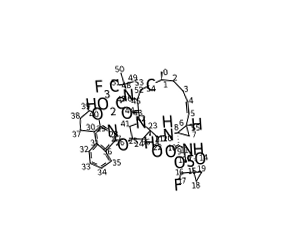 C[C@H]1CC/C=C\[C@@H]2C[C@@]2(C(=O)NS(=O)(=O)C2(CF)CC2)NC(=O)[C@@H]2C[C@@H](Oc3nc4c(c5ccccc35)CCCO4)CN2C(=O)[C@@H](N(C(=O)O)C(C)(C)C(F)(F)F)[C@H](C)C1